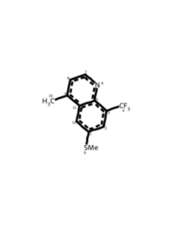 CSc1cc(C(F)(F)F)c2nccc(C)c2c1